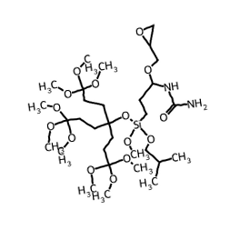 COC(CCC(CCC(OC)(OC)OC)(CCC(OC)(OC)OC)O[Si](CCC(NC(N)=O)OCC1CO1)(OC)OCC(C)C)(OC)OC